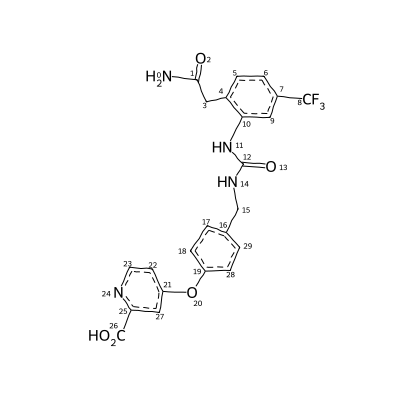 NC(=O)Cc1ccc(C(F)(F)F)cc1NC(=O)NCc1ccc(Oc2ccnc(C(=O)O)c2)cc1